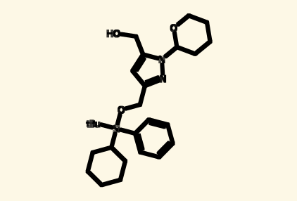 CC(C)(C)[Si](OCc1cc(CO)n(C2CCCCO2)n1)(c1ccccc1)C1CCCCC1